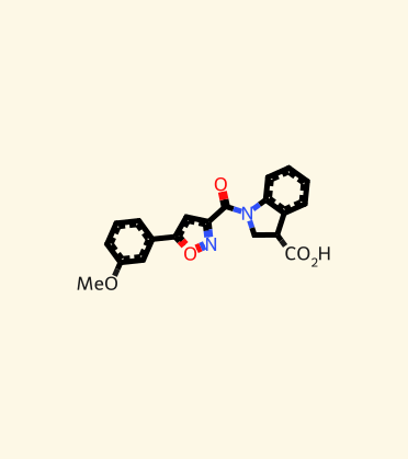 COc1cccc(-c2cc(C(=O)N3CC(C(=O)O)c4ccccc43)no2)c1